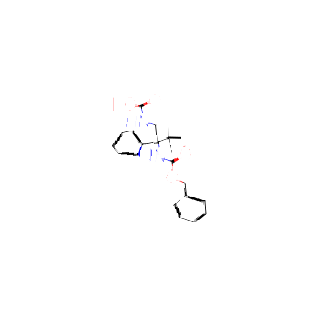 C[C@@H](NC(=O)O)C(NC(=O)OCc1ccccc1)(c1ccccc1)C(C)(C)C